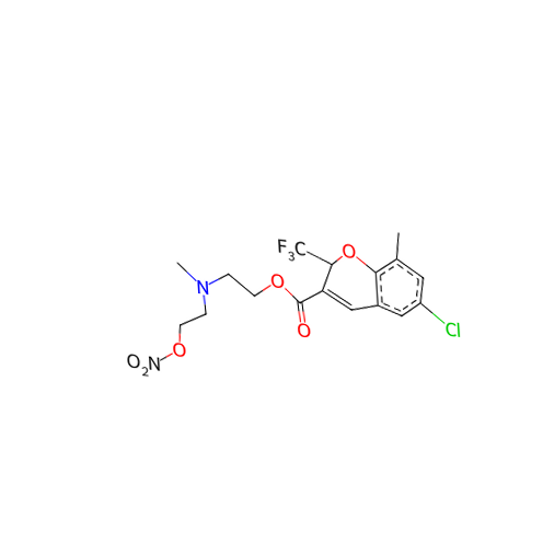 Cc1cc(Cl)cc2c1OC(C(F)(F)F)C(C(=O)OCCN(C)CCO[N+](=O)[O-])=C2